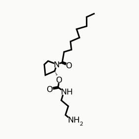 CCCCCCCCC(=O)N1CCC[C@H]1OC(=O)NCCCN